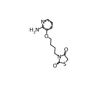 Nc1ncccc1OCCCCN1C(=O)CSC1=O